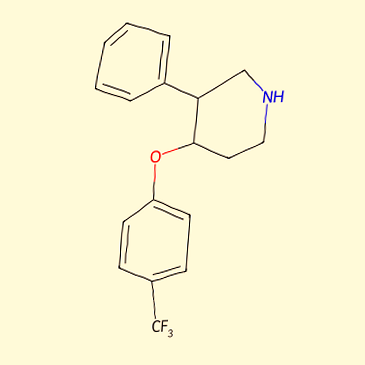 FC(F)(F)c1ccc(OC2CCNCC2c2ccccc2)cc1